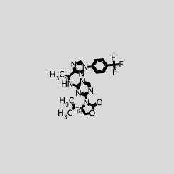 CC(C)[C@H]1COC(=O)N1c1ncnc(N[C@@H](C)c2ncn(-c3ccc(C(F)(F)F)cc3)n2)n1